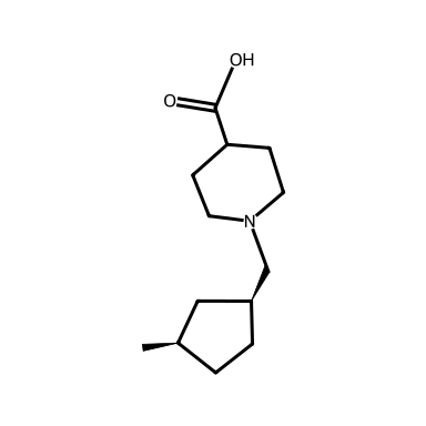 C[C@@H]1CC[C@H](CN2CCC(C(=O)O)CC2)C1